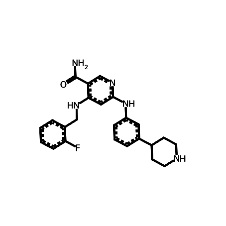 NC(=O)c1cnc(Nc2cccc(C3CCNCC3)c2)cc1NCc1ccccc1F